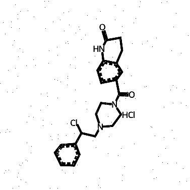 Cl.O=C1CCc2cc(C(=O)N3CCN(CC(Cl)c4ccccc4)CC3)ccc2N1